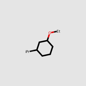 CCOC1CCCC(C(C)C)C1